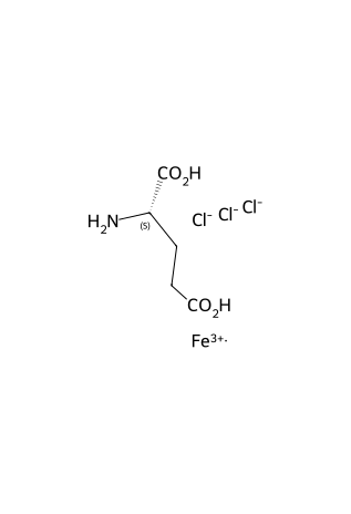 N[C@@H](CCC(=O)O)C(=O)O.[Cl-].[Cl-].[Cl-].[Fe+3]